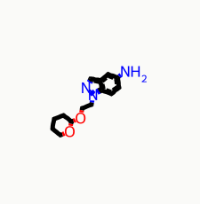 Nc1ccc2c(cnn2CCOC2CCCCO2)c1